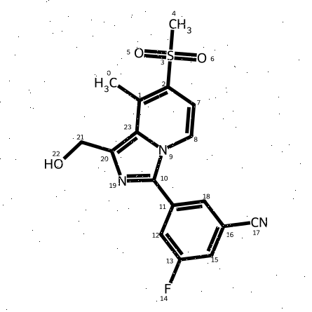 Cc1c(S(C)(=O)=O)ccn2c(-c3cc(F)cc(C#N)c3)nc(CO)c12